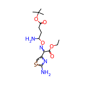 CCOC(=O)C(=NOC(N)CCC(=O)OC(C)(C)C)c1csc(N)n1